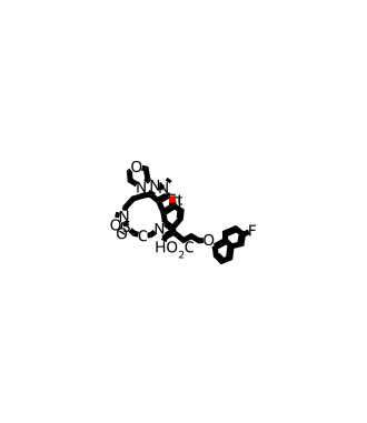 CCc1c2c(nn1C)C(N1CCOCC1)CCN(C)S(=O)(=O)CCCn1c(C(=O)O)c(CCCOc3cccc4cc(F)ccc34)c3ccc(Cl)c-2c31